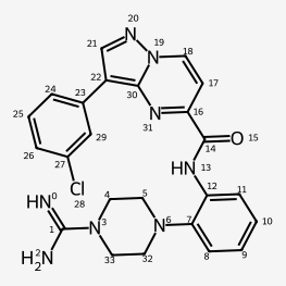 N=C(N)N1CCN(c2ccccc2NC(=O)c2ccn3ncc(-c4cccc(Cl)c4)c3n2)CC1